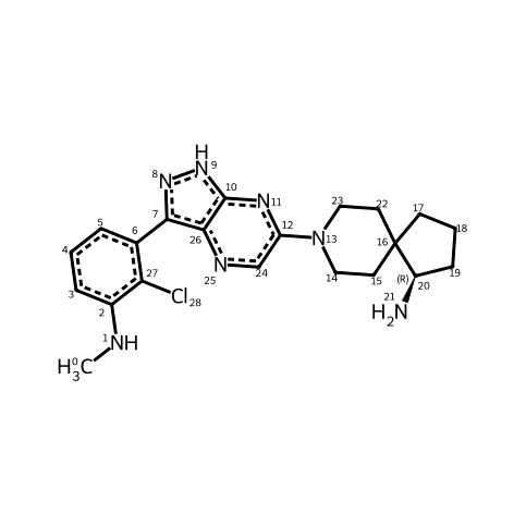 CNc1cccc(-c2n[nH]c3nc(N4CCC5(CCC[C@H]5N)CC4)cnc23)c1Cl